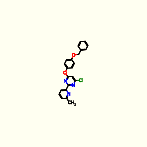 Cc1cccc(-c2nc(Cl)cc(Oc3ccc(OCc4ccccc4)cc3)n2)n1